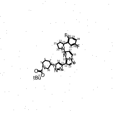 CC(C)(C)OC(=O)N1CCCC(n2cc(-c3cnn4ccc(N5CCCC5c5cc(F)ccc5F)nc34)nn2)C1